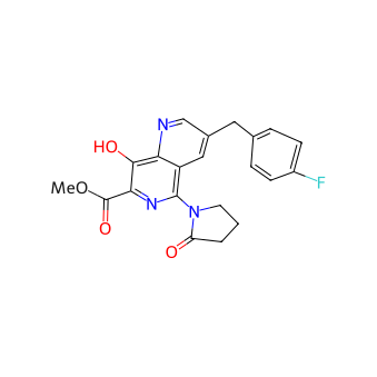 COC(=O)c1nc(N2CCCC2=O)c2cc(Cc3ccc(F)cc3)cnc2c1O